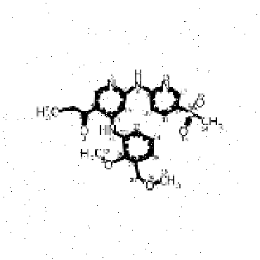 CCC(=O)c1cnc(Nc2ccc(S(C)(=O)=O)cn2)cc1Nc1cccc(COC)c1OC